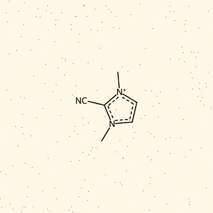 Cn1cc[n+](C)c1C#N